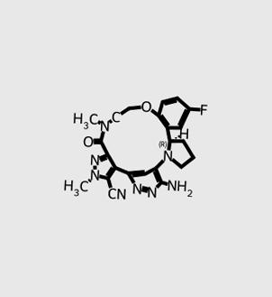 CN1CCOc2ccc(F)cc2[C@H]2CCCN2c2cc(nnc2N)-c2c(nn(C)c2C#N)C1=O